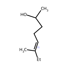 CC/C(C)=C/CCC(C)O